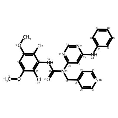 COc1cc(OC)c(Cl)c(NC(=O)N(Cc2ccncc2)c2cc(Nc3[c]cccc3)ncn2)c1Cl